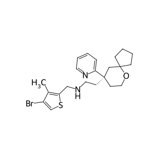 Cc1c(Br)csc1CNCC[C@@]1(c2ccccn2)CCOC2(CCCC2)C1